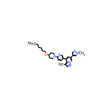 COCCCCCOC1CCN(c2ccc(-c3cc(-c4cnn(C)c4)cn4ncc(C#N)c34)cn2)CC1